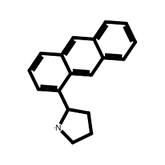 c1ccc2cc3c(C4CCC[N]4)cccc3cc2c1